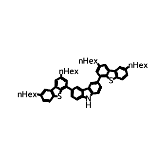 CCCCCCc1ccc2sc3c(-c4ccc5[nH]c6ccc(-c7cc(CCCCCC)cc8c7sc7ccc(CCCCCC)cc78)cc6c5c4)cc(CCCCCC)cc3c2c1